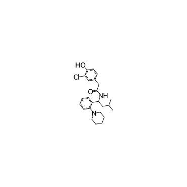 CC(C)CC(NC(=O)Cc1ccc(O)c(Cl)c1)c1ccccc1N1CCCCC1